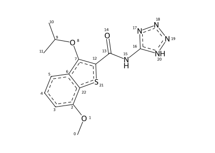 COc1cccc2c(OC(C)C)c(C(=O)Nc3nnn[nH]3)sc12